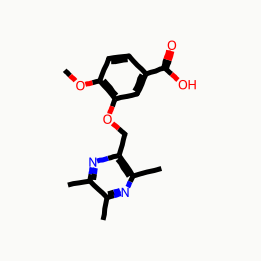 COc1ccc(C(=O)O)cc1OCc1nc(C)c(C)nc1C